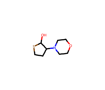 OC1SCC[C]1N1CCOCC1